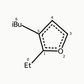 CCc1occc1C(C)CC